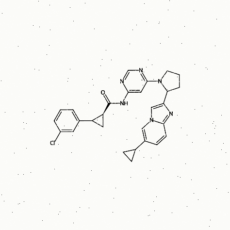 O=C(Nc1cc(N2CCCC2c2cn3cc(C4CC4)ccc3n2)ncn1)[C@H]1CC1c1cccc(Cl)c1